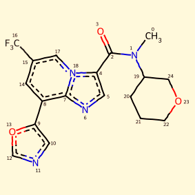 CN(C(=O)c1cnc2c(-c3cnco3)cc(C(F)(F)F)cn12)C1CCCOC1